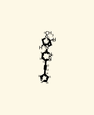 CN1C[C@@H]2C[C@H]1CN2c1ccc(C#Cc2ccsc2)nn1